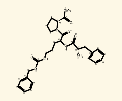 COC(=O)[C@@H]1CCCN1C(=O)C(CCCNC(=O)OCc1ccccc1)NC(=O)[C@@H](N)Cc1ccccc1